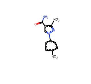 NC(=O)c1cn(-c2ccc([N+](=O)[O-])cc2)nc1[N+](=O)[O-]